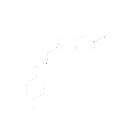 CN1CCC(NC(=O)C(=O)N2CCN(CC(N)=O)CC2)CC1